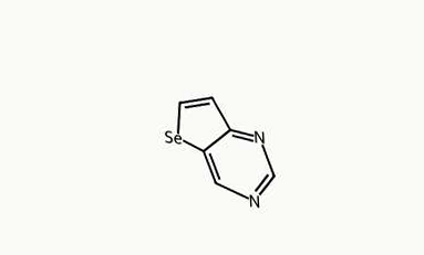 c1ncc2[se]ccc2n1